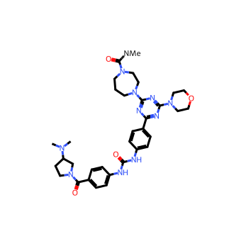 CNC(=O)N1CCCN(c2nc(-c3ccc(NC(=O)Nc4ccc(C(=O)N5CCC(N(C)C)C5)cc4)cc3)nc(N3CCOCC3)n2)CC1